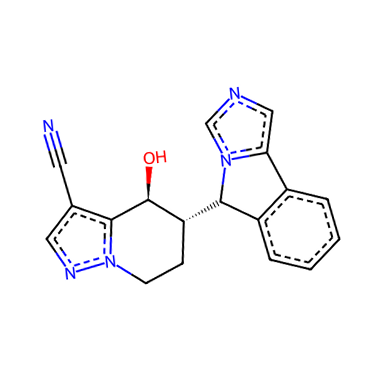 N#Cc1cnn2c1[C@@H](O)[C@H](C1c3ccccc3-c3cncn31)CC2